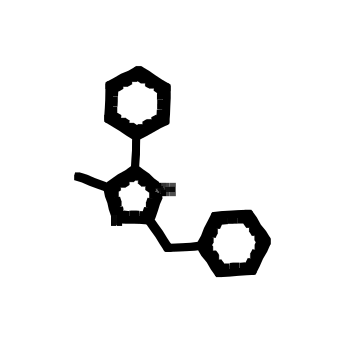 Cc1nc(Cc2ccccc2)[nH]c1-c1ccccc1